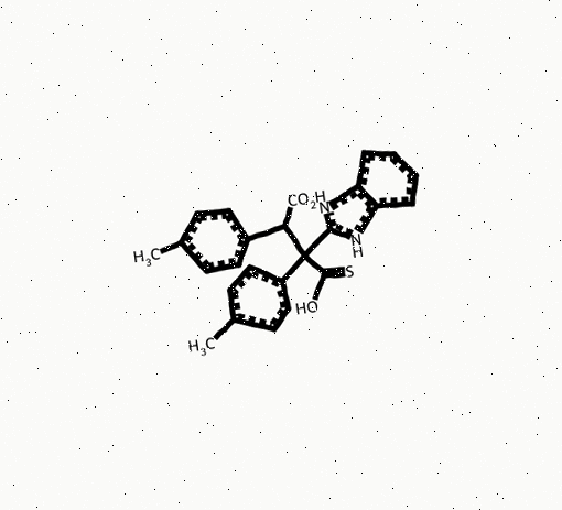 Cc1ccc(C(C(=O)O)C(C(O)=S)(c2ccc(C)cc2)c2nc3ccccc3[nH]2)cc1